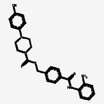 N#Cc1ccc(N2CCN(C(=S)SCc3ccc(C(=O)Nc4ccccc4N)cc3)CC2)cc1